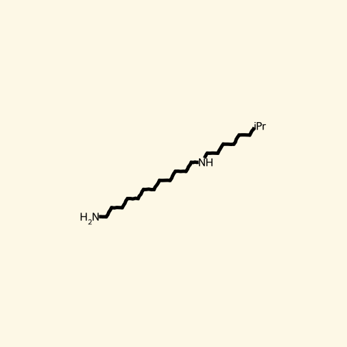 CC(C)CCCCCCNCCCCCCCCCCCCN